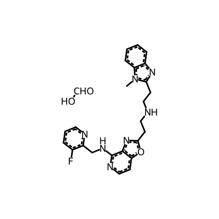 Cn1c(CCNCCc2nc3c(NCc4ncccc4F)nccc3o2)nc2ccccc21.O=CO